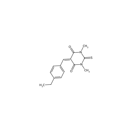 CCc1ccc(C=C2C(=O)N(C)C(=S)N(C)C2=O)cc1